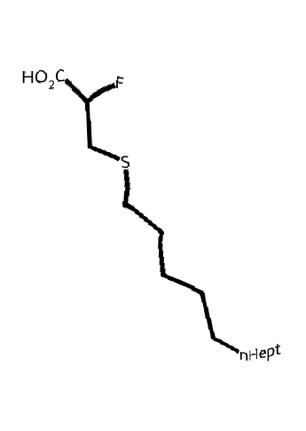 CCCCCCCCCCCCSCC(F)C(=O)O